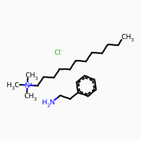 CCCCCCCCCCCC[N+](C)(C)C.NCCc1ccccc1.[Cl-]